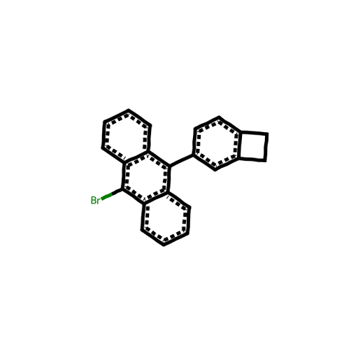 Brc1c2ccccc2c(-c2ccc3c(c2)CC3)c2ccccc12